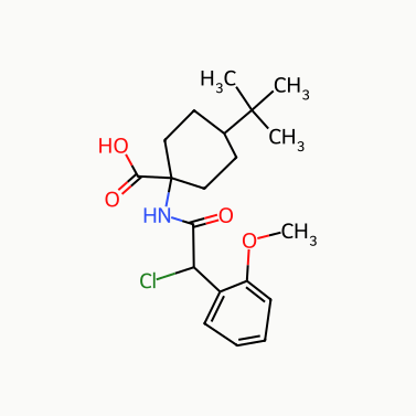 COc1ccccc1C(Cl)C(=O)NC1(C(=O)O)CCC(C(C)(C)C)CC1